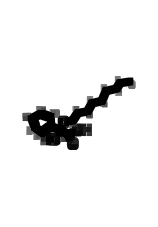 CCCCCCCCCOC(O)(C(=O)O)c1ccccc1